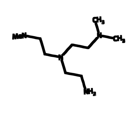 CNCCN(CCN)CCN(C)C